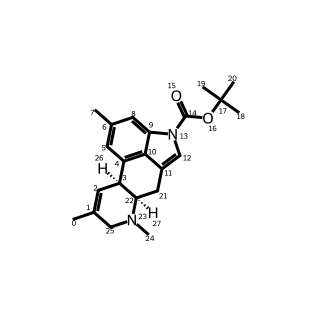 CC1=C[C@H]2c3cc(C)cc4c3c(cn4C(=O)OC(C)(C)C)C[C@H]2N(C)C1